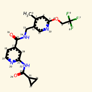 Cc1cc(OCC(F)(F)F)ncc1CNC(=O)c1ccnc(NC(=O)C2CC2)c1